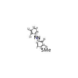 CSc1ccc(/N=N/c2cccc(C)c2C)c(C)c1C